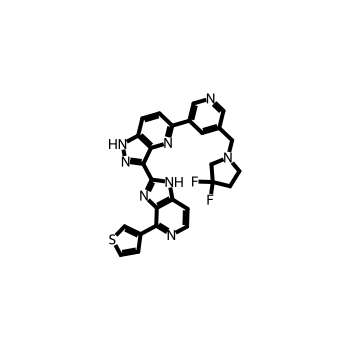 FC1(F)CCN(Cc2cncc(-c3ccc4[nH]nc(-c5nc6c(-c7ccsc7)nccc6[nH]5)c4n3)c2)C1